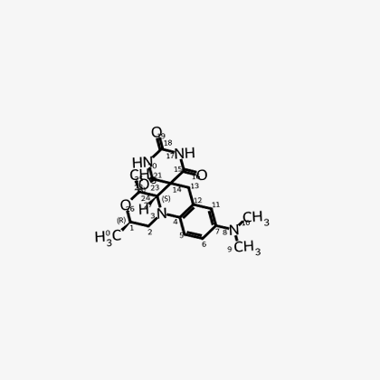 C[C@@H]1CN2c3ccc(N(C)C)cc3CC3(C(=O)NC(=O)NC3=O)[C@H]2[C@H](C)O1